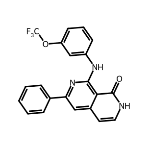 O=c1[nH]ccc2cc(-c3ccccc3)nc(Nc3cccc(OC(F)(F)F)c3)c12